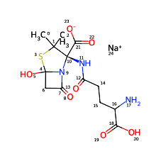 CC1(C)SC2(O)CC(=O)N2[C@@]1(NC(=O)CCC(N)C(=O)O)C(=O)[O-].[Na+]